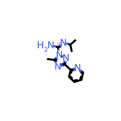 Cc1nc(-c2ccccn2)nn1/C(N)=N\C(C)C